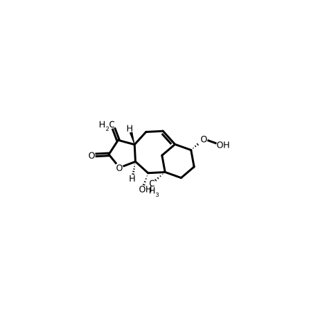 C=C1C(=O)O[C@@H]2[C@@H](O)[C@]3(C)CC[C@@H](OO)/C(=C/C[C@@H]12)C3